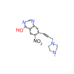 CN1CCN(CC#Cc2cc3ncnc(O)c3cc2[N+](=O)[O-])CC1